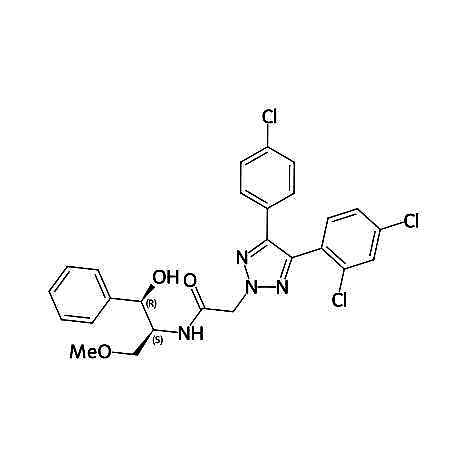 COC[C@H](NC(=O)Cn1nc(-c2ccc(Cl)cc2)c(-c2ccc(Cl)cc2Cl)n1)[C@H](O)c1ccccc1